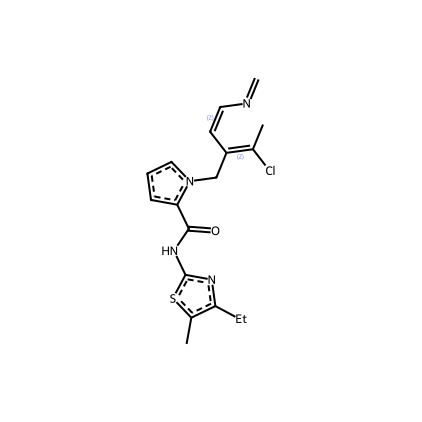 C=N/C=C\C(Cn1cccc1C(=O)Nc1nc(CC)c(C)s1)=C(/C)Cl